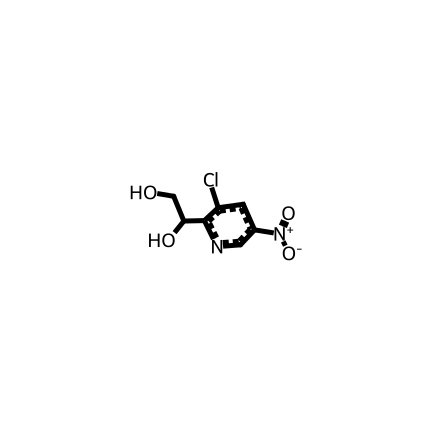 O=[N+]([O-])c1cnc(C(O)CO)c(Cl)c1